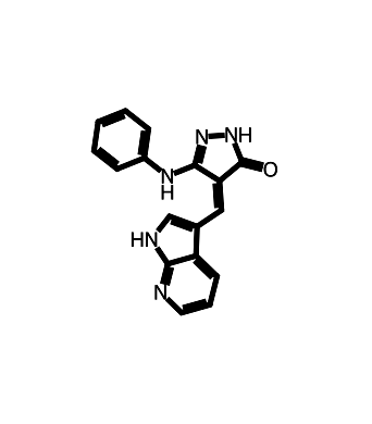 O=C1NN=C(Nc2ccccc2)C1=Cc1c[nH]c2ncccc12